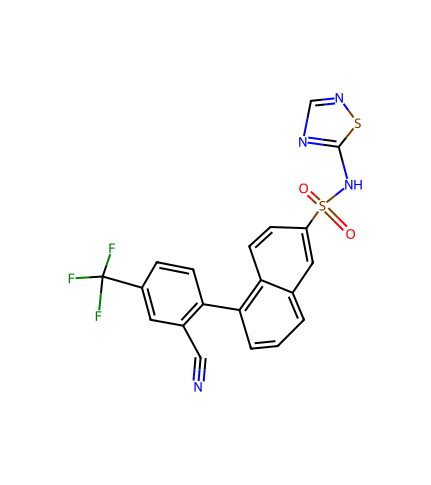 N#Cc1cc(C(F)(F)F)ccc1-c1cccc2cc(S(=O)(=O)Nc3ncns3)ccc12